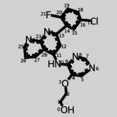 OCCOc1cncnc1Nc1cc(-c2cc(Cl)ccc2F)nc2ncccc12